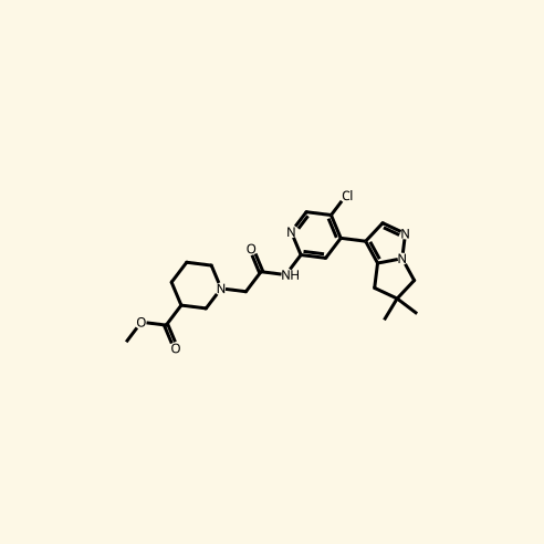 COC(=O)C1CCCN(CC(=O)Nc2cc(-c3cnn4c3CC(C)(C)C4)c(Cl)cn2)C1